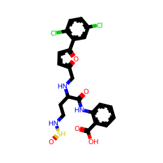 O=[SH]NCCC(NCc1ccc(-c2cc(Cl)ccc2Cl)o1)C(=O)Nc1ccccc1C(=O)O